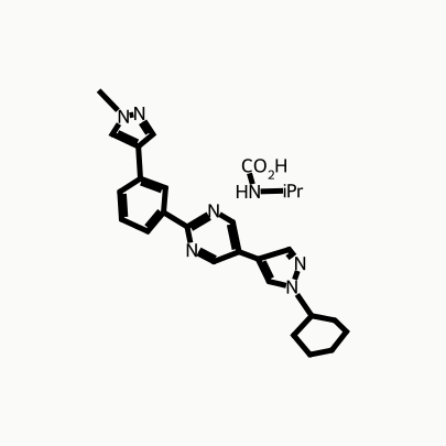 CC(C)NC(=O)O.Cn1cc(-c2cccc(-c3ncc(-c4cnn(C5CCCCC5)c4)cn3)c2)cn1